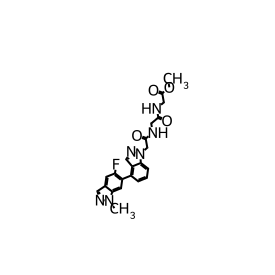 COC(=O)CNC(=O)CNC(=O)Cn1ncc2c(-c3cc4c(cnn4C)cc3F)cccc21